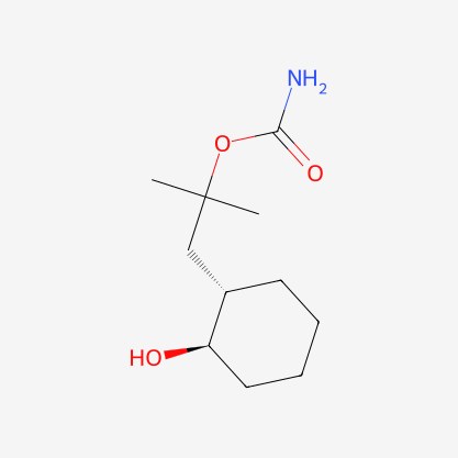 CC(C)(C[C@@H]1CCCC[C@H]1O)OC(N)=O